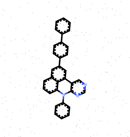 c1ccc(-c2ccc(-c3cc4c5c(cccc5c3)N(c3ccccc3)c3ncncc3-4)cc2)cc1